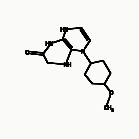 COC1CCC(N2C=CNC3=C2NCC(=O)N3)CC1